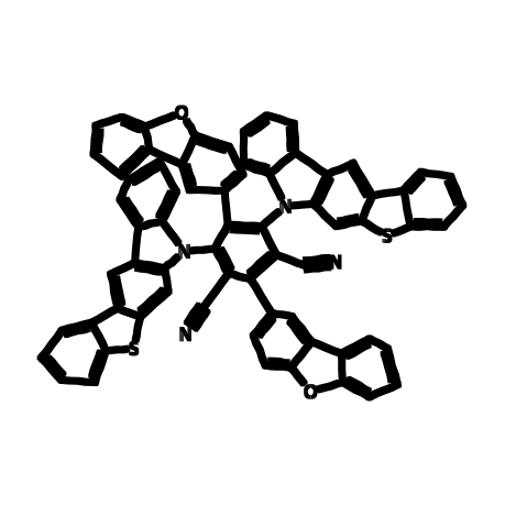 N#Cc1c(-c2ccc3oc4ccccc4c3c2)c(C#N)c(-n2c3ccccc3c3cc4c(cc32)sc2ccccc24)c(-c2ccc3oc4ccccc4c3c2)c1-n1c2ccccc2c2cc3c(cc21)sc1ccccc13